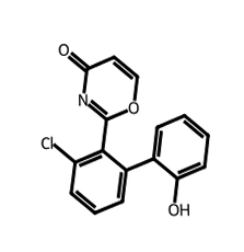 O=c1ccoc(-c2c(Cl)cccc2-c2ccccc2O)n1